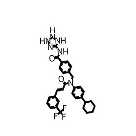 O=C(NC1=NNNN1)c1ccc(CN(C(=O)/C=C/c2cccc(C(F)(F)F)c2)c2ccc(C3CCCCC3)cc2)cc1